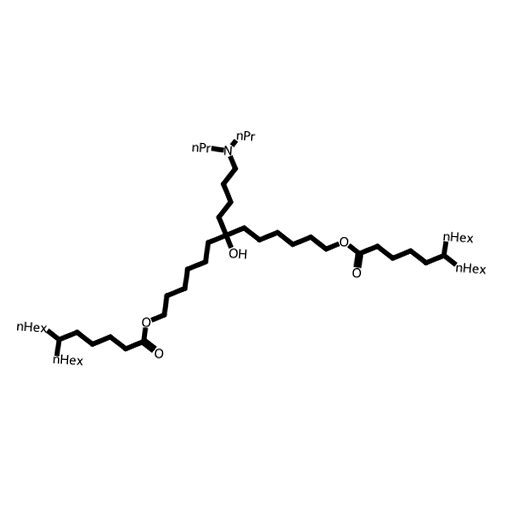 CCCCCCC(CCCCCC)CCCCC(=O)OCCCCCCC(O)(CCCCCCOC(=O)CCCCC(CCCCCC)CCCCCC)CCCCN(CCC)CCC